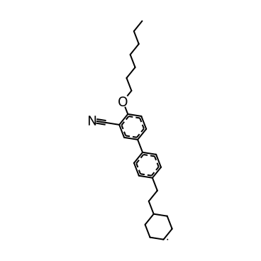 CCCCCCCOc1ccc(-c2ccc(CCC3CC[CH]CC3)cc2)cc1C#N